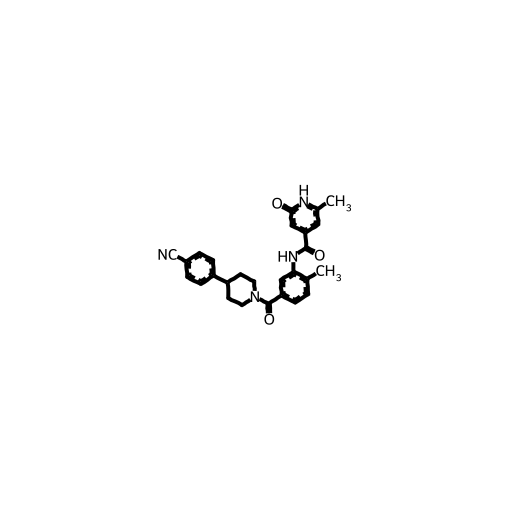 Cc1cc(C(=O)Nc2cc(C(=O)N3CCC(c4ccc(C#N)cc4)CC3)ccc2C)cc(=O)[nH]1